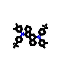 Cc1ccc(N(c2ccc([Si](C)(C)C)cc2)c2cc3c4ccccc4c(N(c4ccc([Si](C)(C)C)cc4)c4ccc(C)c(C)c4)cc3c3ccccc23)cc1C